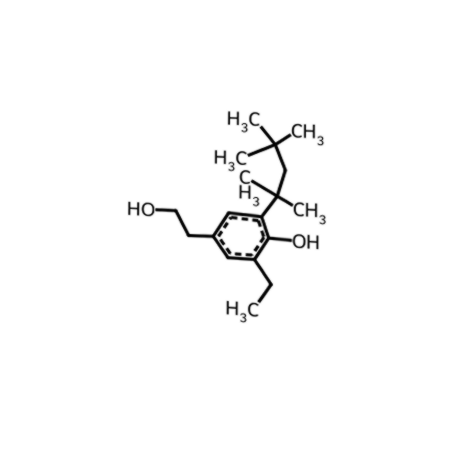 CCc1cc(CCO)cc(C(C)(C)CC(C)(C)C)c1O